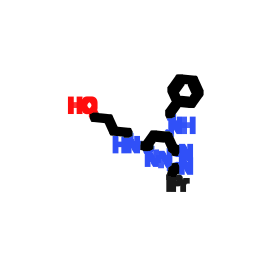 CC(C)c1nnc2c(NCc3ccccc3)cc(NCCCCO)nn12